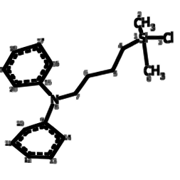 C[Si](C)(Cl)CCCCN(c1ccccc1)c1ccccc1